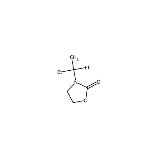 CCC(C)(CC)N1CCOC1=O